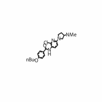 CCCCOc1ccc(C(=O)Nc2ccc(N3CCC(NC)C3)nc2Cl)cc1